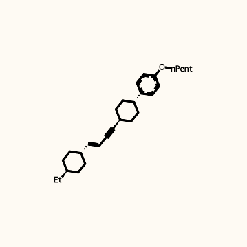 CCCCCOc1ccc([C@H]2CC[C@H](C#C/C=C/[C@H]3CC[C@H](CC)CC3)CC2)cc1